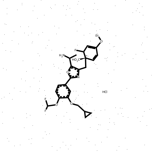 CCOC1=CC(F)[C@](Cc2nc(-c3ccc(OC(F)F)c(OCC4CC4)c3)oc2C(C)N)(C(=O)O)C=C1.Cl